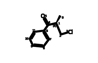 C[C@@H](CCl)C(=O)c1ccccc1